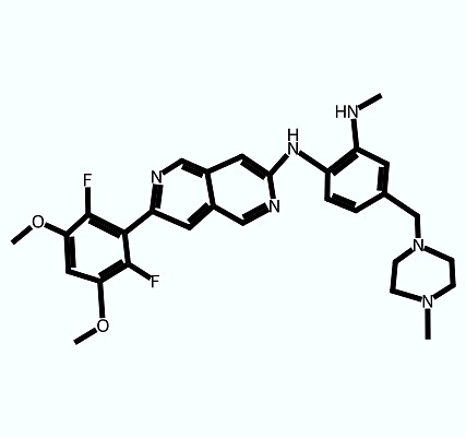 CNc1cc(CN2CCN(C)CC2)ccc1Nc1cc2cnc(-c3c(F)c(OC)cc(OC)c3F)cc2cn1